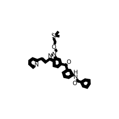 C[Si](C)(C)CCOCn1nc(C=Cc2ccccn2)c2ccc(C(=O)c3cccc(NC(=O)c4ccccc4)c3)cc21